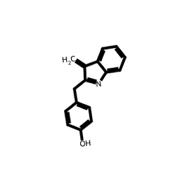 C=C1C(Cc2ccc(O)cc2)=Nc2ccccc21